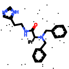 CC(C)[C@@H](C(=O)NCCc1cnc[nH]1)N(Cc1ccccc1)Cc1ccccc1